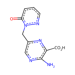 Nc1ncc(Cn2ncccc2=O)nc1C(=O)O